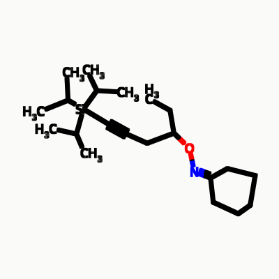 CCC(CC#C[Si](C(C)C)(C(C)C)C(C)C)ON=C1CCCCC1